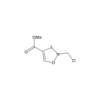 COC(=O)C1=CON(CCl)S1